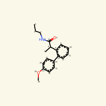 CCCNC(=O)C(C)c1ccccc1-c1ccc(OC)cc1